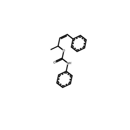 CC(/C=C\c1ccccc1)OC(=O)Nc1ccccc1